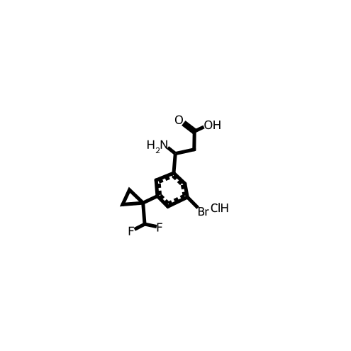 Cl.NC(CC(=O)O)c1cc(Br)cc(C2(C(F)F)CC2)c1